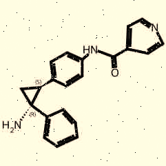 N[C@]1(c2ccccc2)C[C@H]1c1ccc(NC(=O)c2ccncc2)cc1